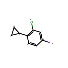 Clc1cc(I)ccc1C1CC1